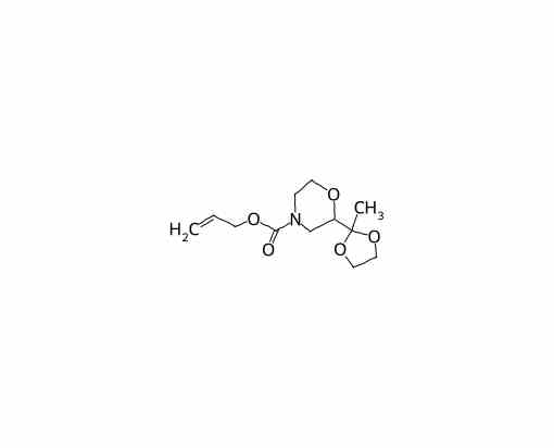 C=CCOC(=O)N1CCOC(C2(C)OCCO2)C1